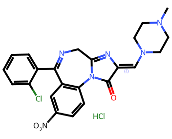 CN1CCN(/C=C2\N=C3CN=C(c4ccccc4Cl)c4cc([N+](=O)[O-])ccc4N3C2=O)CC1.Cl